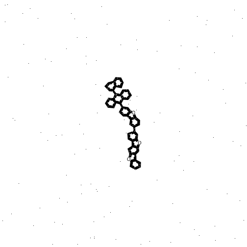 c1ccc2c(-c3c4ccccc4c(-c4ccc5c(c4)oc4ccc(-c6ccc7c(c6)oc6cc8c(cc67)oc6ccccc68)cc45)c4ccccc34)cccc2c1